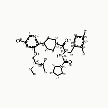 CC[C@H](COc1cc(Cl)cnc1C1CCN(C(=O)[C@@H](Cc2ccc(C)cc2C)NC(=O)N2CCCC2)CC1)N(C)C